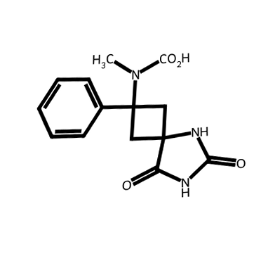 CN(C(=O)O)C1(c2ccccc2)CC2(C1)NC(=O)NC2=O